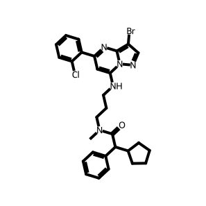 CN(CCCNc1cc(-c2ccccc2Cl)nc2c(Br)cnn12)C(=O)C(c1ccccc1)C1CCCC1